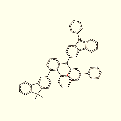 CC1(C)c2ccccc2-c2cc(-c3cccc(N(c4cccc(-c5ccccc5)c4)c4ccc5c(c4)c4ccccc4n5-c4ccccc4)c3-c3ccccc3)ccc21